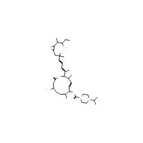 CCC(O)C(C)C1OC1CC(C)(O)/C=C/C=C(\C)C1OC(=O)CC(O)CCC(C)C(OC(=O)N2CCN(C(C)C)CC2)/C=C/C1C